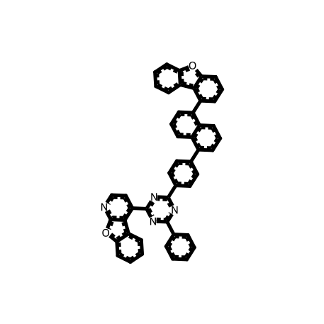 c1ccc(-c2nc(-c3ccc(-c4cccc5c(-c6cccc7oc8ccccc8c67)cccc45)cc3)nc(-c3ccnc4oc5ccccc5c34)n2)cc1